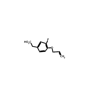 C=CCOc1ccc(CC(=O)O)cc1F